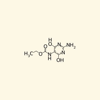 CCOC(=O)Nc1c(O)nc(N)nc1O